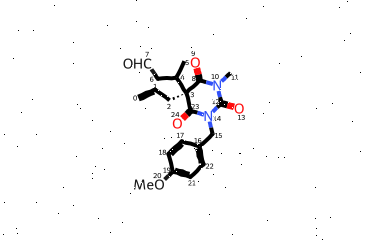 C=CC[C@]1(C(C)CC=O)C(=O)N(C)C(=O)N(Cc2ccc(OC)cc2)C1=O